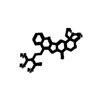 CC[C@@]1(OC)C(=O)OCc2c1cc1n(c2=O)Cc2c-1nc1ccccc1c2CCN(C(C)=O)C(C)C